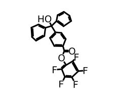 O=C(Oc1c(F)c(F)c(F)c(F)c1F)c1ccc(C(O)(c2ccccc2)c2ccccc2)cc1